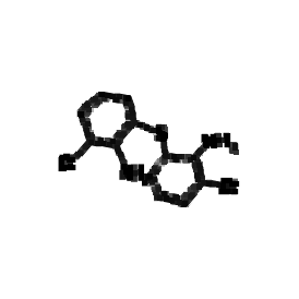 CCc1cccc(Sc2cccc(CC)c2N)c1N